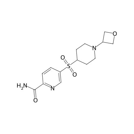 NC(=O)c1ccc(S(=O)(=O)C2CCN(C3COC3)CC2)cn1